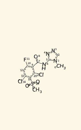 Cn1cnnc1NC(=O)c1c(F)cc(Cl)c(S(C)(=O)=O)c1Cl